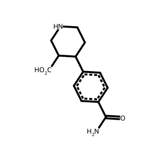 NC(=O)c1ccc(C2CCNCC2C(=O)O)cc1